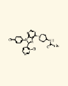 CCCCC(=O)NC1CCN(c2ncnc3c2nc(-c2ccncc2Cl)n3-c2ccc(Cl)cc2)CC1